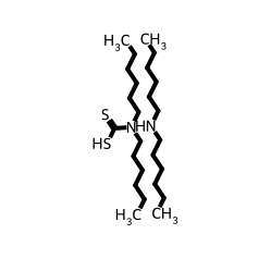 CCCCCCN(CCCCCC)C(=S)S.CCCCCCNCCCCCC